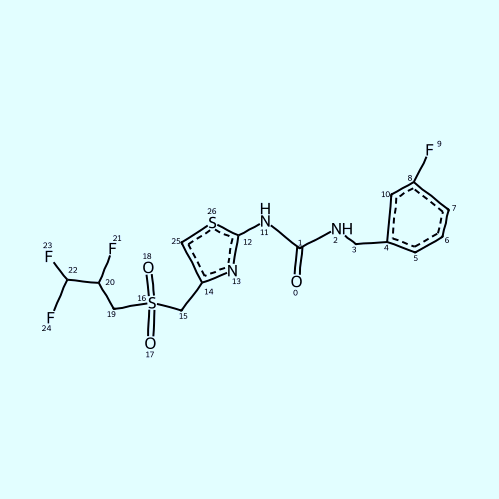 O=C(NCc1cccc(F)c1)Nc1nc(CS(=O)(=O)CC(F)C(F)F)cs1